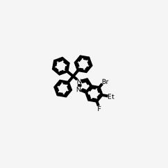 CCc1c(F)cc2nn(C(c3ccccc3)(c3ccccc3)c3ccccc3)cc2c1Br